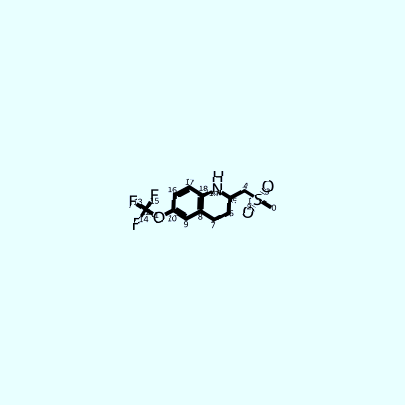 CS(=O)(=O)CC1CCc2cc(OC(F)(F)F)ccc2N1